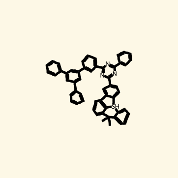 CC1(C)c2ccccc2[SH]2c3ccc(-c4nc(-c5ccccc5)nc(-c5cccc(-c6cc(-c7ccccc7)cc(-c7ccccc7)c6)c5)n4)cc3-c3cccc1c32